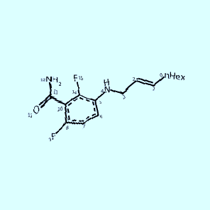 CCCCCCC=CCNc1ccc(F)c(C(N)=O)c1F